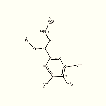 CCOC(CNC(C)(C)C)c1cc(Cl)c(N)c(Cl)c1